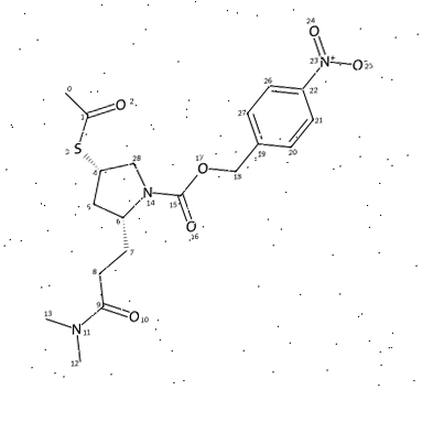 CC(=O)S[C@H]1C[C@@H](CCC(=O)N(C)C)N(C(=O)OCc2ccc([N+](=O)[O-])cc2)C1